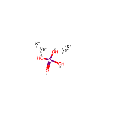 O=P(O)(O)O.[K+].[K+].[Na+].[Na+]